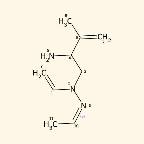 C=CN(CC(N)C(=C)C)/N=C\C